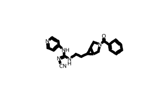 N#C/N=C(\NCCC1C2CN(C(=O)c3ccccc3)CC12)Nc1ccncc1